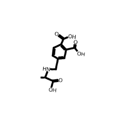 CC(NCc1ccc(C(=O)O)c(C(=O)O)c1)C(=O)O